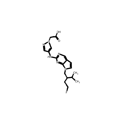 CC(C)C(CCF)Cn1ccc2cnc(Nc3cnn(CC(=O)O)c3)nc21